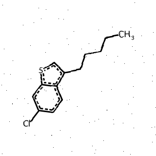 CCCCCc1csc2cc(Cl)ccc12